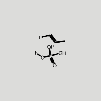 CC=CF.O=P(O)(O)OF